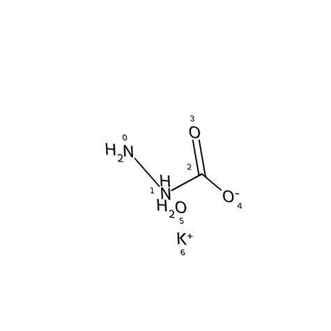 NNC(=O)[O-].O.[K+]